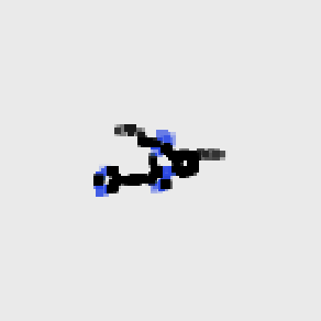 COCc1nnc2n1Cc1c(C#Cc3cncnc3)ncn1-c1ccc(OC)cc1-2